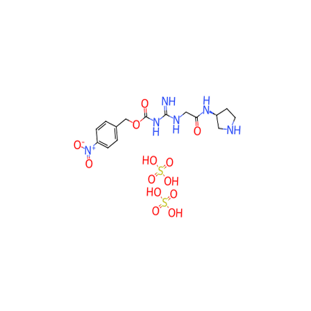 N=C(NCC(=O)N[C@H]1CCNC1)NC(=O)OCc1ccc([N+](=O)[O-])cc1.O=S(=O)(O)O.O=S(=O)(O)O